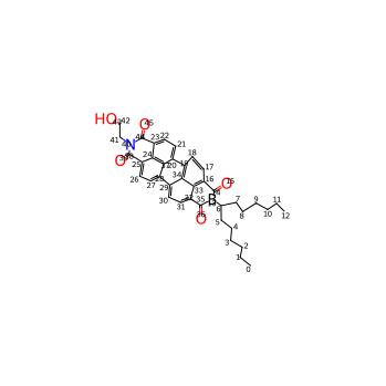 CCCCCCC(CCCCCC)B1C(=O)c2ccc3c4ccc5c6c(ccc(c7ccc(c2c37)C1=O)c64)C(=O)N(CCO)C5=O